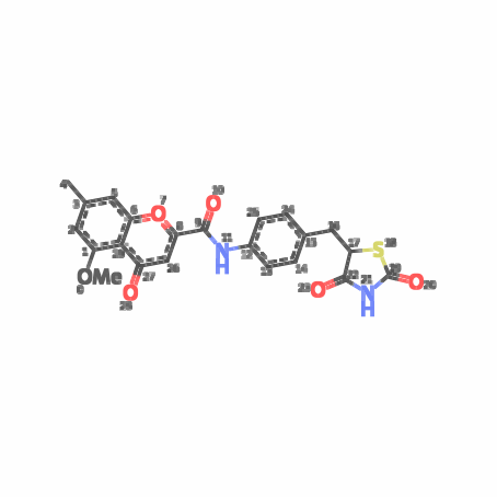 COc1cc(C)cc2oc(C(=O)Nc3ccc(CC4SC(=O)NC4=O)cc3)cc(=O)c12